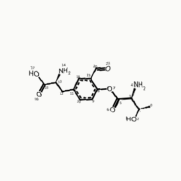 C[C@@H](O)[C@H](N)C(=O)Oc1ccc(C[C@H](N)C(=O)O)cc1C=O